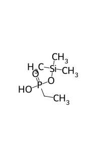 CCP(=O)(O)O[Si](C)(C)C